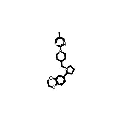 Cc1cnc(N2CCC(CN3CCCC3c3ccc4c(c3)OCCO4)CC2)nc1